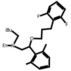 CCC(C)CN(CC)CC(OCCCc1c(F)cccc1F)c1c(C)cccc1C